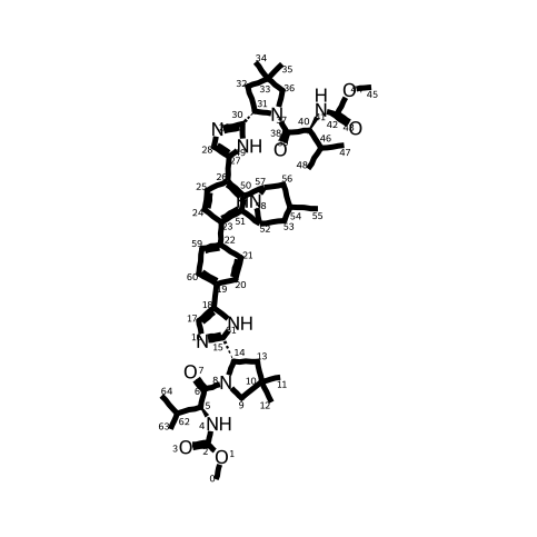 COC(=O)N[C@H](C(=O)N1CC(C)(C)C[C@H]1c1ncc(-c2ccc(-c3ccc(-c4cnc([C@@H]5CC(C)(C)CN5C(=O)[C@@H](NC(=O)OC)C(C)C)[nH]4)c4c3C3CC(C)CC4N3)cc2)[nH]1)C(C)C